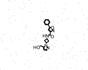 O=C(N[C@H]1C[C@H](n2nccc2CO)C1)c1cc(-c2ccccc2)on1